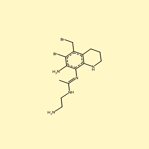 C/C(=N\c1c(N)c(Br)c(CBr)c2c1NCCC2)NCCN